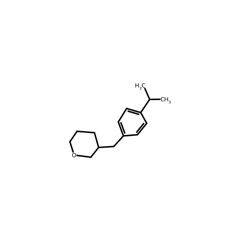 CC(C)c1ccc(CC2CCCOC2)cc1